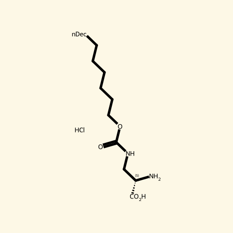 CCCCCCCCCCCCCCCCOC(=O)NC[C@H](N)C(=O)O.Cl